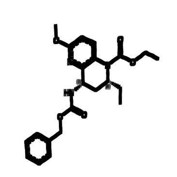 CCOC(=O)N1c2ccc(OC)nc2[C@@H](NC(=O)OCc2ccccc2)C[C@H]1CC